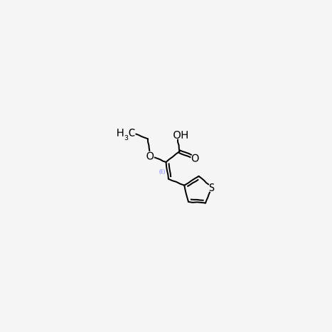 CCO/C(=C/c1ccsc1)C(=O)O